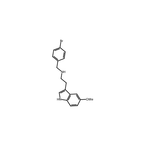 COc1ccc2[nH]cc(CCNCc3ccc(Br)cc3)c2c1